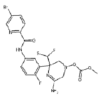 COC(=O)ON1CC(N)=NC(c2cc(NC(=O)c3ccc(Br)cn3)ccc2F)(C(F)F)C1